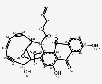 C=CCOC(=O)N1c2c(cc(O)c3c2C(=O)c2ccc(N)cc2C3=O)[C@@]23O[C@@]2(C(C)C)[C@@H]1C#C/C=C\C#C[C@H]3O